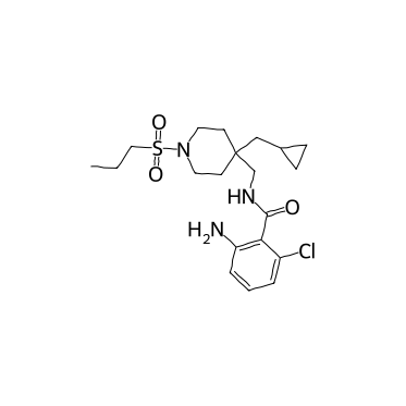 CCCS(=O)(=O)N1CCC(CNC(=O)c2c(N)cccc2Cl)(CC2CC2)CC1